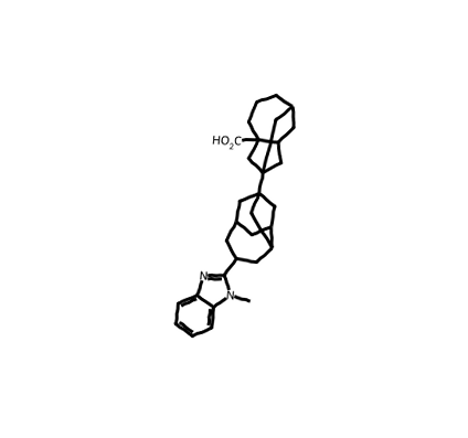 Cn1c(C2CC3CC4CC(C56CC7CCCC(C(=O)O)(C5)C(C7)C6)(C3)CC4C2)nc2ccccc21